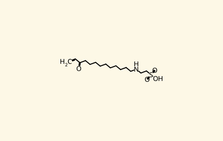 C=CC(=O)CCCCCCCCCCNCCS(=O)(=O)O